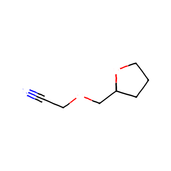 N#CCOCC1CCCO1